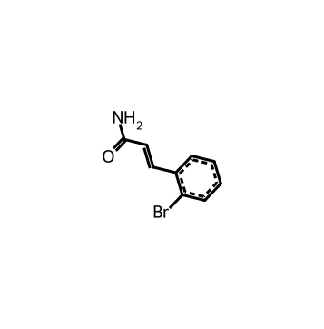 NC(=O)/C=C/c1ccccc1Br